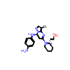 CCc1cnn2c(Nc3ccc(N)cc3)cc(N3CCCC[C@H]3CCO)nc12